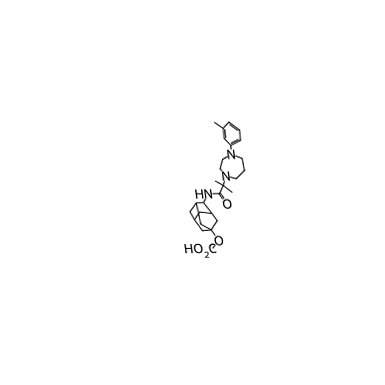 Cc1cccc(N2CCCN(C(C)(C)C(=O)NC3C4CC5CC3CC(OC(=O)O)(C5)C4)CC2)c1